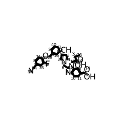 CC1([C@@H]2CCN(Cc3nc4ccc(C(=O)O)cc4n3C[C@@]3(O)CCO3)C2)C=C(COc2ccc(C#N)cc2F)C=CC1